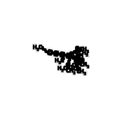 C=C(C)C(=O)OCCCc1cc(-c2ccc(-c3ccc(C4CCC(CCCCC)CC4)cc3)cc2CC)cc(CCCOC(=O)C(=C)C)c1OCC(CC)(COC(=O)CC(=O)OC)COC(=O)CC(=O)OC